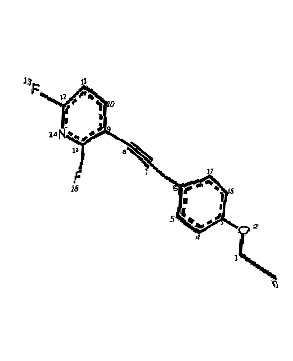 CCOc1ccc(C#Cc2ccc(F)nc2F)cc1